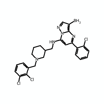 Bc1cnn2c(NCC3CCCN(Cc4cccc(Cl)c4Cl)C3)cc(-c3ccccc3Cl)nc12